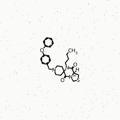 CCCCN1C(=O)[C@@H]2CSCN2C(=O)C12CCN(Cc1ccc(Oc3ccccc3)cc1)CC2